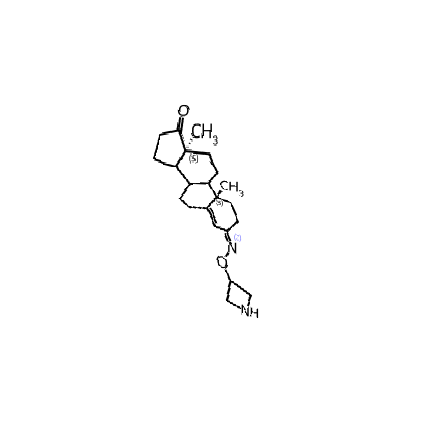 C[C@]12CCC3C(CCC4=C/C(=N\OC5CNC5)CC[C@]43C)C1CCC2=O